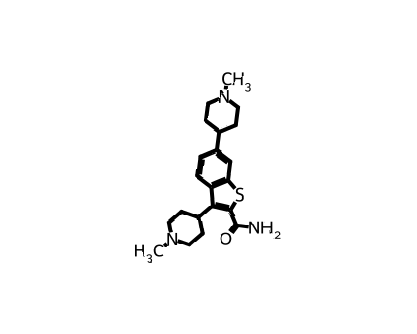 CN1CCC(c2ccc3c(C4CCN(C)CC4)c(C(N)=O)sc3c2)CC1